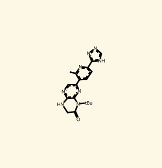 Cc1nc(-c2nnc[nH]2)ccc1-c1cnc2c(n1)N(C(C)(C)C)C(=O)CN2